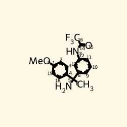 COc1ccc(C(C)(N)c2cccc(NC(=O)C(F)(F)F)c2)cc1